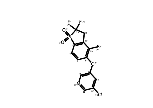 O=S1(=O)c2ccc(Oc3cncc(Cl)c3)c(Br)c2CC1(F)F